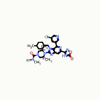 CCN(C)C(=O)N1C[C@@H](C)N(c2nc3cc(-c4noc(=O)[nH]4)nc(-c4cncc(Cl)c4)c3n2CC2CCC(C)CC2)[C@H](C)C1